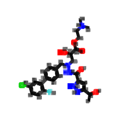 CC(=O)c1cc(C(=O)NN(Cc2ccc(-c3cc(Cl)ccc3F)cc2)C[C@@H](O)C(=O)OCCN(C)C)[nH]n1